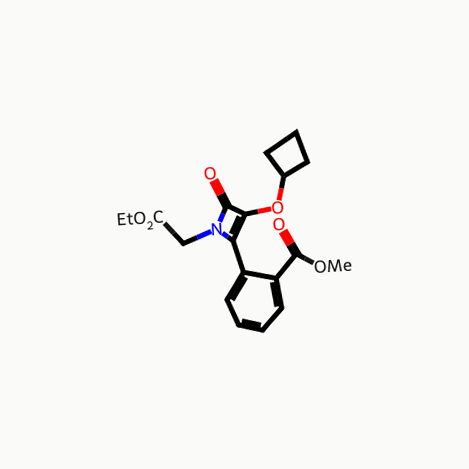 CCOC(=O)CN1C(=O)C(OC2CCC2)=C1c1ccccc1C(=O)OC